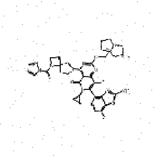 Nc1nc2c(-c3c(F)c4nc(OC[C@@]56CCCN5C[C@H](F)C6)nc(N5CCC6(CCN6C(=O)n6cncn6)C5)c4c(=O)n3C3CC3)ccc(F)c2s1